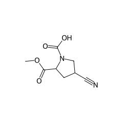 COC(=O)C1CC(C#N)CN1C(=O)O